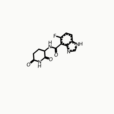 O=C1CCC(NC(=O)c2c(F)ccc3[nH]cnc23)C(=O)N1